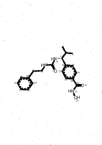 CC(C)[C@@H](NC(=O)NCCc1ccccc1)c1ccc(C(=O)NO)cc1